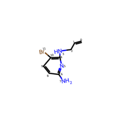 C=CCNc1nc(N)ccc1Br